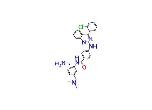 CN(C)Cc1ccc(CN)c(NC(=O)c2ccc(Nc3nc(-c4ccccc4Cl)c4ccccc4n3)cc2)c1